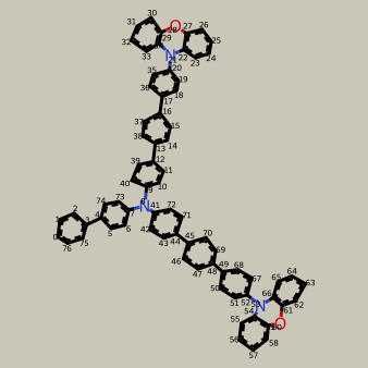 c1ccc(-c2ccc(N(c3ccc(-c4ccc(-c5ccc(N6c7ccccc7Oc7ccccc76)cc5)cc4)cc3)c3ccc(-c4ccc(-c5ccc(N6c7ccccc7Oc7ccccc76)cc5)cc4)cc3)cc2)cc1